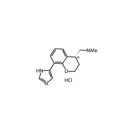 CNC[C@@H]1CCOc2c(-c3cnc[nH]3)cccc21.Cl